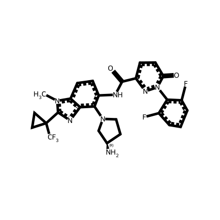 Cn1c(C2(C(F)(F)F)CC2)nc2c(N3CC[C@@H](N)C3)c(NC(=O)c3ccc(=O)n(-c4c(F)cccc4F)n3)ccc21